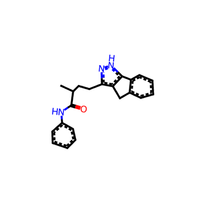 CC(CCc1n[nH]c2c1Cc1ccccc1-2)C(=O)Nc1ccccc1